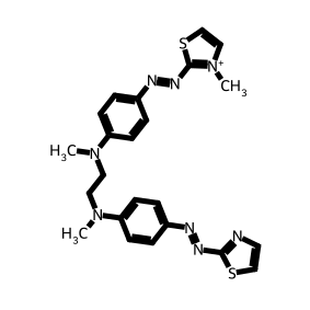 CN(CCN(C)c1ccc(/N=N/c2scc[n+]2C)cc1)c1ccc(/N=N/c2nccs2)cc1